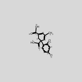 CC1=CC(C(=O)O)(c2ccc(Cl)cc2Cl)CC(C(=O)O)=C1